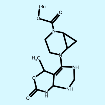 CC1OC(=O)NC2NCNC(N3CCN(C(=O)OC(C)(C)C)C4CC43)=C21